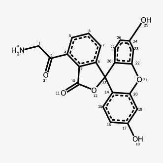 NCC(=O)c1cccc2c1C(=O)OC21c2ccc(O)cc2Oc2cc(O)ccc21